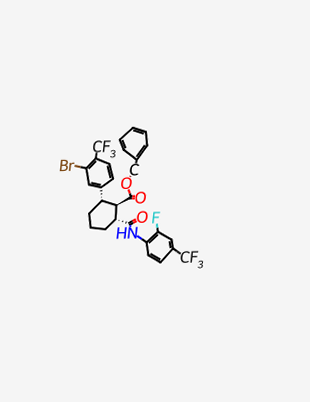 O=C(OCc1ccccc1)[C@@H]1[C@@H](c2ccc(C(F)(F)F)c(Br)c2)CCC[C@H]1C(=O)Nc1ccc(C(F)(F)F)cc1F